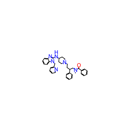 CN(CC(CCN1CCC(Nc2nc3ccccc3n2Cc2ccccn2)CC1)c1ccccc1)C(=O)c1ccccc1